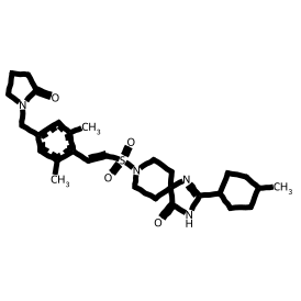 Cc1cc(CN2CCCC2=O)cc(C)c1/C=C/S(=O)(=O)N1CCC2(CC1)N=C(C1CCC(C)CC1)NC2=O